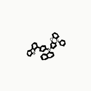 c1ccc(N2c3ccccc3Oc3cc(N(c4ccc(-c5cccc6c5sc5ccccc56)cc4)c4cccc5ccccc45)ccc32)cc1